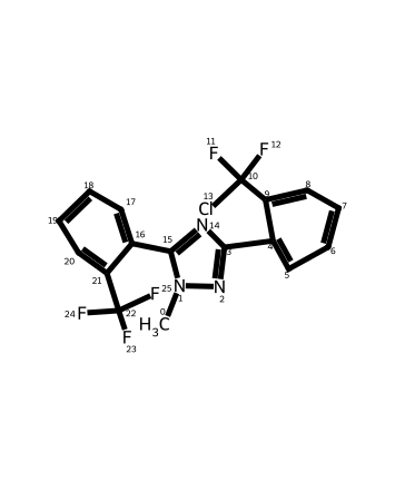 Cn1nc(-c2ccccc2C(F)(F)Cl)nc1-c1ccccc1C(F)(F)F